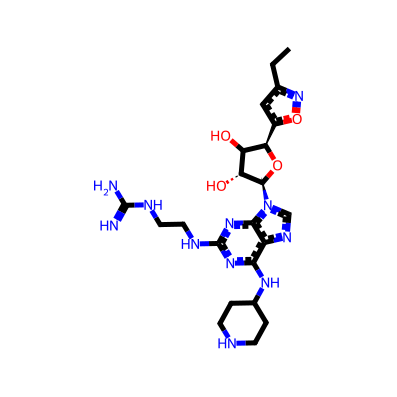 CCc1cc([C@H]2O[C@@H](n3cnc4c(NC5CCNCC5)nc(NCCNC(=N)N)nc43)[C@H](O)C2O)on1